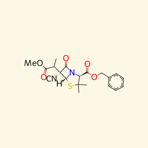 [C-]#[N+][C@]1(C(C)C(=O)OC)C(=O)N2[C@@H](C(=O)OCc3ccccc3)C(C)(C)S[C@@H]21